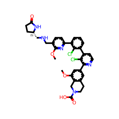 COc1cc(-c2nccc(-c3cccc(-c4ccc(CNC[C@@H]5CCC(=O)N5)c(OC)n4)c3Cl)c2Cl)cc2c1CN(C(=O)O)CC2